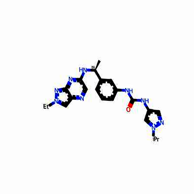 CCn1cc2ncc(N[C@@H](C)c3cccc(NC(=O)Nc4cnn(C(C)C)c4)c3)nc2n1